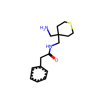 NCC1(CNC(=O)Cc2ccccc2)CCSCC1